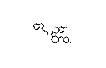 Fc1ccc(/C=C2\CCCCc3c(OCN[C@@H]4CCc5ccccc54)nn(-c4ccc(Cl)cc4Cl)c32)cc1